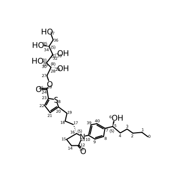 CCCCC[C@H](O)c1ccc(N2C(=O)CC[C@@H]2CCCc2ccc(C(=O)OC[C@@H](O)[C@H](O)[C@@H](O)[C@@H](O)CO)s2)cc1